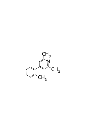 Cc1cc(-c2ccccc2C)cc(C)n1